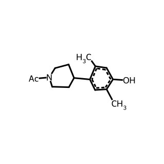 CC(=O)N1CCC(c2cc(C)c(O)cc2C)CC1